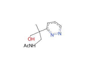 CC(=O)NCC(C)(CO)c1cccnn1